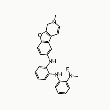 CN1C=Cc2c(oc3ccc(Nc4ccccc4Nc4ccccc4N(C)F)cc23)C1